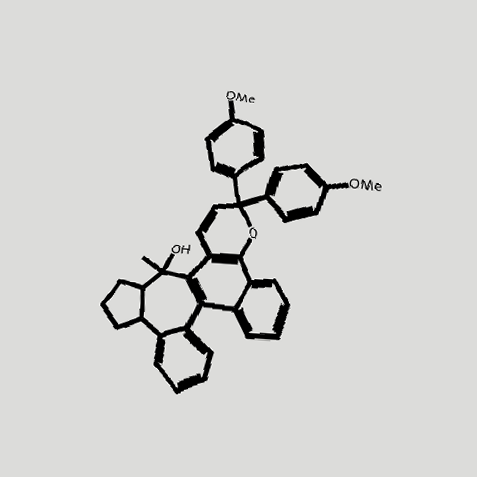 COc1ccc(C2(c3ccc(OC)cc3)C=Cc3c4c(c5ccccc5c3O2)-c2ccccc2C2CCCC2C4(C)O)cc1